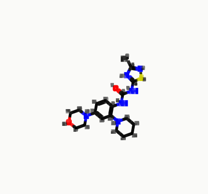 CC(C)c1nsc(NC(=O)Nc2ccc(N3CCOCC3)cc2N2CCCCC2)n1